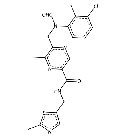 Cc1ncc(CNC(=O)c2cnc(CN(C=O)c3cccc(Cl)c3C)c(C)n2)s1